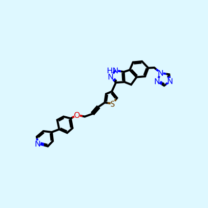 C(#Cc1cc(-c2n[nH]c3c2Cc2cc(Cn4cncn4)ccc2-3)cs1)COc1ccc(-c2ccncc2)cc1